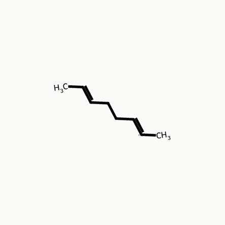 C[C]=CCCC=CC